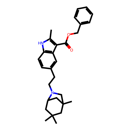 Cc1[nH]c2ccc(CCN3CC4(C)CC3CC(C)(C)C4)cc2c1C(=O)OCc1ccccc1